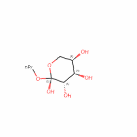 CCCO[C@]1(O)OC[C@@H](O)[C@@H](O)[C@@H]1O